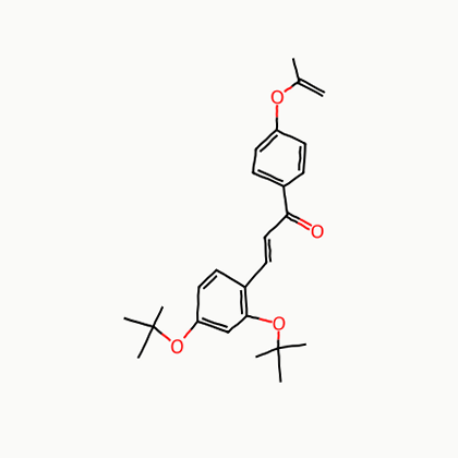 C=C(C)Oc1ccc(C(=O)C=Cc2ccc(OC(C)(C)C)cc2OC(C)(C)C)cc1